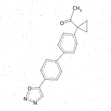 CC(=O)C1(c2ccc(-c3ccc(-c4cnno4)cc3)cc2)CC1